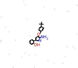 CC(C)(C)c1ccc(COc2cc(-c3ccccc3O)cnc2N)cc1